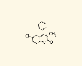 Cn1c(-c2ccccc2)c2cc(Cl)ccc2nc1=O